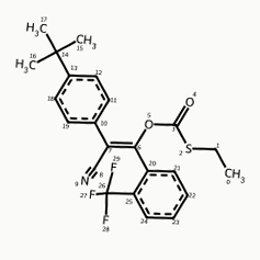 CCSC(=O)OC(=C(C#N)c1ccc(C(C)(C)C)cc1)c1ccccc1C(F)(F)F